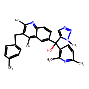 Cc1ccc(C(O)(c2ccc3nc(C#N)c(Cc4ccc(C(F)(F)F)cc4)c(C#N)c3c2)c2cnnn2C)c(C)n1